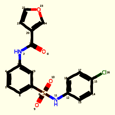 O=C(Nc1cccc(S(=O)(=O)Nc2ccc(Cl)cc2)c1)c1ccoc1